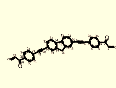 C=CC(=O)c1ccc(C#Cc2ccc3c(c2)Cc2cc(C#Cc4ccc(C(=O)C=C)cc4)ccc2-3)cc1